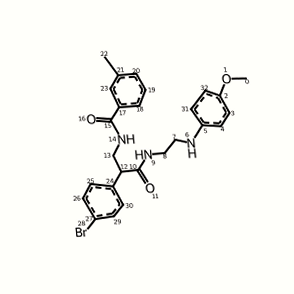 COc1ccc(NCCNC(=O)C(CNC(=O)c2cccc(C)c2)c2ccc(Br)cc2)cc1